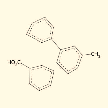 Cc1cccc(-c2ccccc2)c1.O=C(O)c1ccccc1